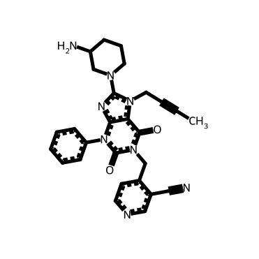 CC#CCn1c(N2CCCC(N)C2)nc2c1c(=O)n(Cc1ccncc1C#N)c(=O)n2-c1ccccc1